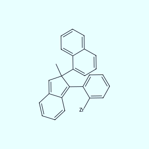 CC1(c2cccc3ccccc23)C=c2ccccc2=C1c1cccc[c]1[Zr]